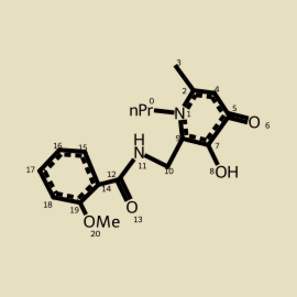 CCCn1c(C)cc(=O)c(O)c1CNC(=O)c1ccccc1OC